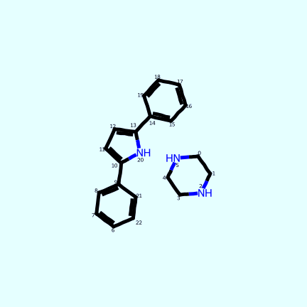 C1CNCCN1.c1ccc(-c2ccc(-c3ccccc3)[nH]2)cc1